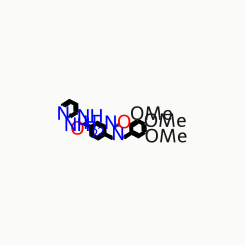 COc1cc(CN(Cc2ccc(C(=O)Nc3cccnc3N)cc2)C(N)=O)cc(OC)c1OC